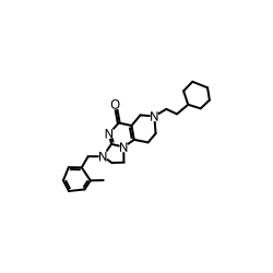 Cc1ccccc1CN1CCn2c1nc(=O)c1c2CCN(CCC2CCCCC2)C1